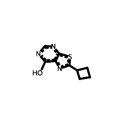 Oc1ncnc2sc(C3CCC3)nc12